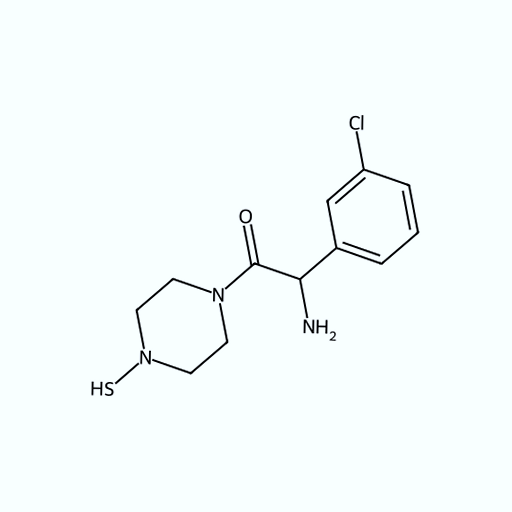 NC(C(=O)N1CCN(S)CC1)c1cccc(Cl)c1